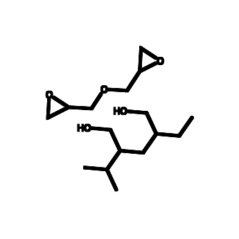 C(OCC1CO1)C1CO1.CCC(CO)CC(CO)C(C)C